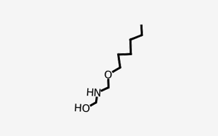 CCCCCCOCNCO